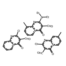 CCN(CC)c1nc2c(C)cccn2c(=O)c1C=O.Cc1ccn2c(=O)c(C=O)c(Cl)nc2c1.O=Cc1c(Cl)nc2ccccn2c1=O